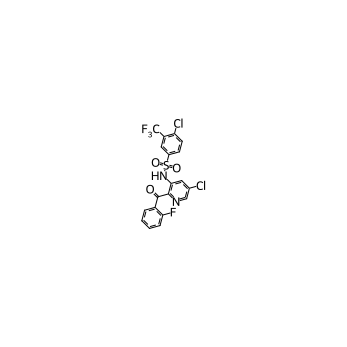 O=C(c1ccccc1F)c1ncc(Cl)cc1NS(=O)(=O)c1ccc(Cl)c(C(F)(F)F)c1